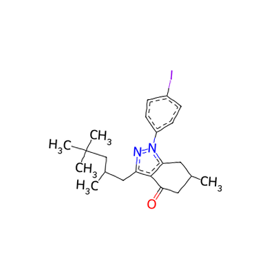 CC1CC(=O)c2c(CC(C)CC(C)(C)C)nn(-c3ccc(I)cc3)c2C1